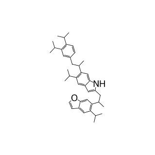 CC(C)c1ccc(CC(C)c2cc3[nH]c(CC(C)c4cc5occc5cc4C(C)C)cc3cc2C(C)C)cc1C(C)C